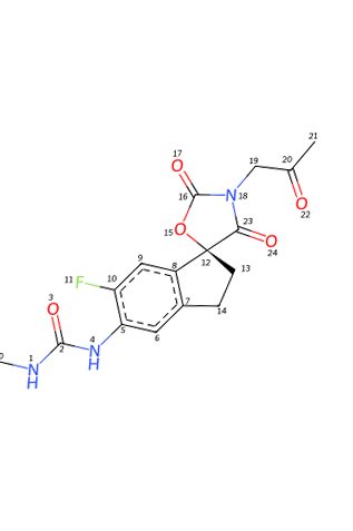 CNC(=O)Nc1cc2c(cc1F)[C@]1(CC2)OC(=O)N(CC(C)=O)C1=O